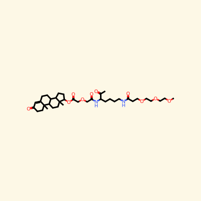 COCCOCCOCCC(=O)NCCCCC(NC(=O)COCC(=O)OC1CCC2C3CCC4=CC(=O)CCC4(C)C3CCC12C)C(C)=O